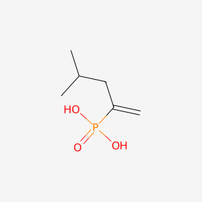 C=C(CC(C)C)P(=O)(O)O